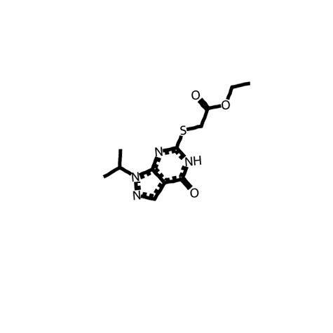 CCOC(=O)CSc1nc2c(cnn2C(C)C)c(=O)[nH]1